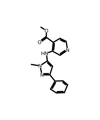 COC(=O)c1ccncc1Nc1cc(-c2ccccc2)nn1C